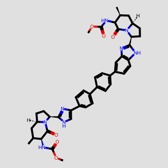 COC(=O)NC1C(=O)N2[C@H](CC[C@H]2c2nc3cc(-c4ccc(-c5ccc(-c6c[nH]c([C@@H]7CC[C@@H]8CC(C)[C@H](NC(=O)OC)C(=O)N87)n6)cc5)cc4)ccc3[nH]2)C[C@@H]1C